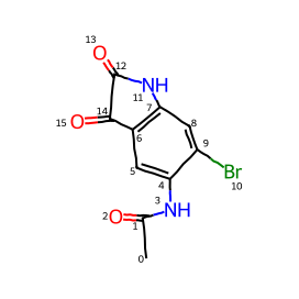 CC(=O)Nc1cc2c(cc1Br)NC(=O)C2=O